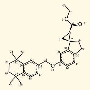 CCOC(=O)[C@@H]1C[C@]12CCc1ccc(OCc3ccc4c(c3)C(C)(C)CCC4(C)C)cc12